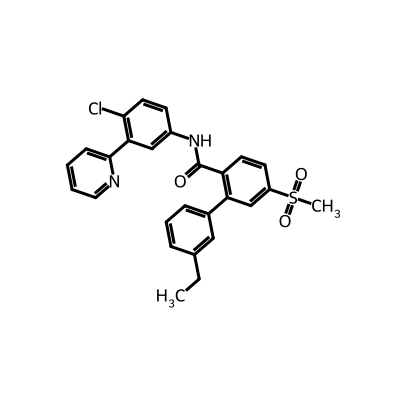 CCc1cccc(-c2cc(S(C)(=O)=O)ccc2C(=O)Nc2ccc(Cl)c(-c3ccccn3)c2)c1